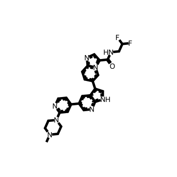 CN1CCN(c2cc(-c3cnc4[nH]cc(-c5ccc6ncc(C(=O)NCC(F)F)n6c5)c4c3)ccn2)CC1